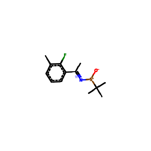 C/C(=N\[S+]([O-])C(C)(C)C)c1cccc(C)c1F